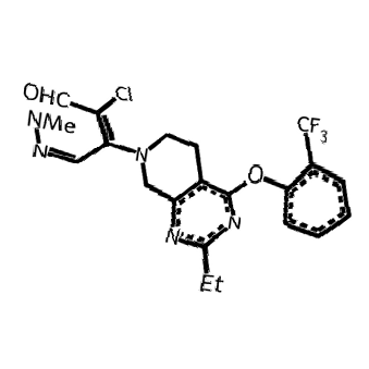 CCc1nc2c(c(Oc3ccccc3C(F)(F)F)n1)CCN(C(/C=N\NC)=C(\Cl)C=O)C2